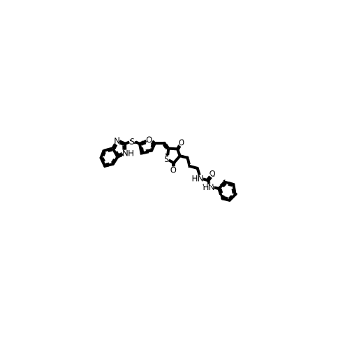 O=C(NCCCC1C(=O)SC(=Cc2ccc(Sc3nc4ccccc4[nH]3)o2)C1=O)Nc1ccccc1